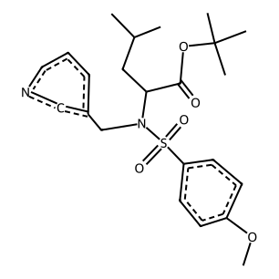 COc1ccc(S(=O)(=O)N(Cc2cccnc2)C(CC(C)C)C(=O)OC(C)(C)C)cc1